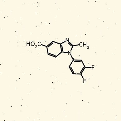 Cc1nc2cc(C(=O)O)ccc2n1-c1ccc(F)c(F)c1